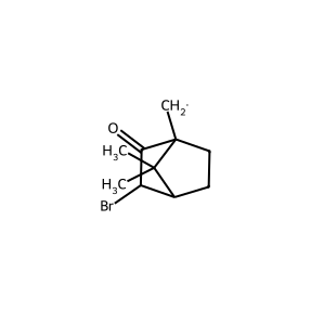 [CH2]C12CCC(C(Br)C1=O)C2(C)C